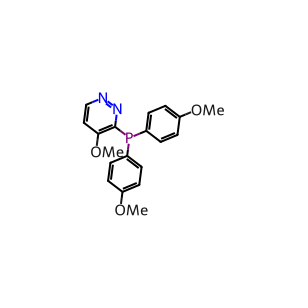 COc1ccc(P(c2ccc(OC)cc2)c2nnccc2OC)cc1